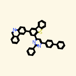 c1ccc(-c2ccc(-c3cc(-c4cc(-c5ccc6ncc7ccccc7c6c5)cc5c4sc4ccccc45)nc(-c4ccccc4)n3)cc2)cc1